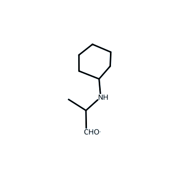 CC([C]=O)NC1CCCCC1